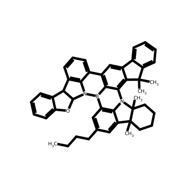 CCCCc1cc2c3c(c1)C1(C)CCCCC1(C)N3c1c3c(cc4c1C(C)(C)c1ccccc1-4)-c1cccc4c1N(B23)C1Oc2ccccc2C41